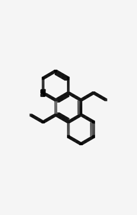 CCc1c2c(c(CC)c3c1C=CCS3)CCC=C2